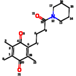 CC1=C(C)C(=O)C(CCCC(=O)N2CCCCC2)=C(C)C1=O